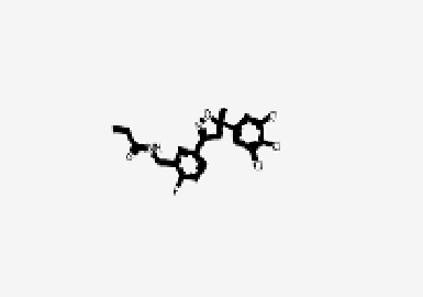 CCC(=O)NCc1cc(C2=NOC(C)(c3cc(Cl)c(Cl)c(Cl)c3)C2)ccc1F